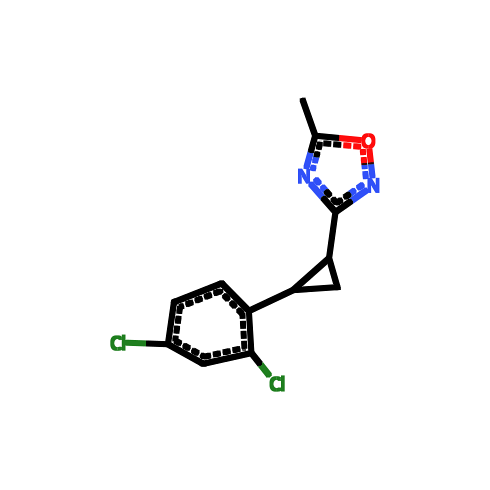 Cc1nc(C2CC2c2ccc(Cl)cc2Cl)no1